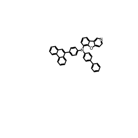 c1ccc(-c2ccc(N(c3ccc(-c4cc5ccccc5c5ccccc45)cc3)c3cccc4c3oc3ccncc34)cc2)cc1